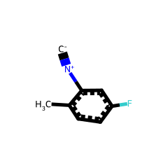 [C-]#[N+]c1cc(F)ccc1C